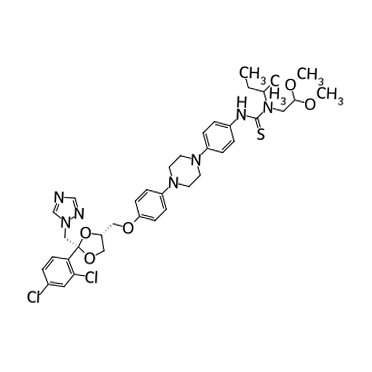 CCC(C)N(CC(OC)OC)C(=S)Nc1ccc(N2CCN(c3ccc(OC[C@@H]4CO[C@@](Cn5cncn5)(c5ccc(Cl)cc5Cl)O4)cc3)CC2)cc1